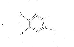 Brc1ccc(I)cc1I